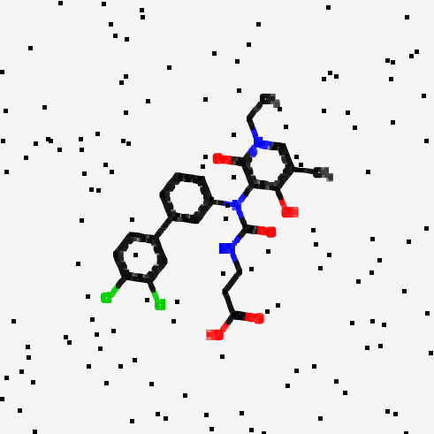 CCn1cc(C)c(O)c(N(C(=O)NCCC(=O)O)c2cccc(-c3ccc(Cl)c(Cl)c3)c2)c1=O